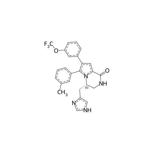 Cc1cccc(-c2c(-c3cccc(OC(F)(F)F)c3)cc3n2[C@@H](Cc2c[nH]cn2)CNC3=O)c1